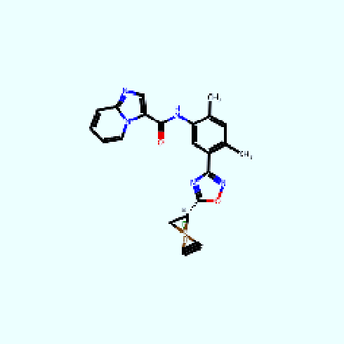 Cc1cc(C)c(-c2noc([C@H]3C[SH]34(F)C#C4)n2)cc1NC(=O)c1cnc2ccccn12